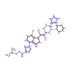 CN(C)CCNc1ccn(-c2ncc(F)c3c(C(=O)C(=O)N4CCN(c5nnnn5-c5ccccc5)CC4)c[nH]c23)n1